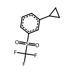 O=S(=O)(c1c[c]cc(C2CC2)c1)C(F)(F)F